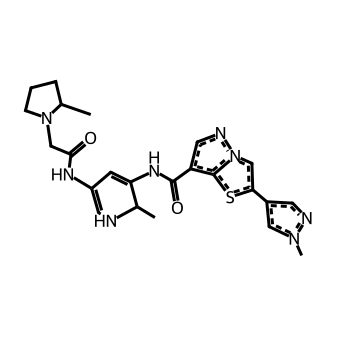 CC1NC=C(NC(=O)CN2CCCC2C)C=C1NC(=O)c1cnn2cc(-c3cnn(C)c3)sc12